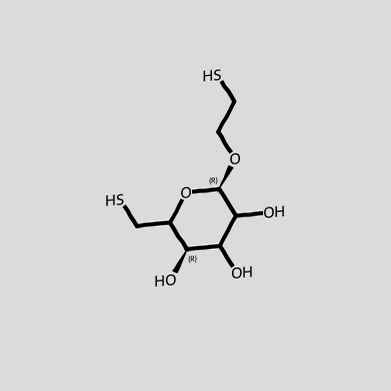 OC1C(O)[C@@H](O)C(CS)O[C@H]1OCCS